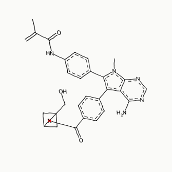 C=C(C)C(=O)Nc1ccc(-c2c(-c3ccc(C(=O)N4CC5CC4(CO)C5)cc3)c3c(N)ncnc3n2C)cc1